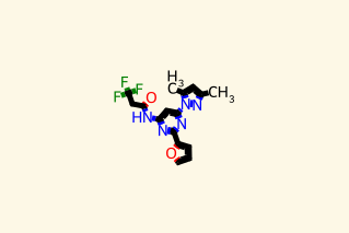 Cc1cc(C)n(-c2cc(NC(=O)CC(F)(F)F)nc(-c3ccco3)n2)n1